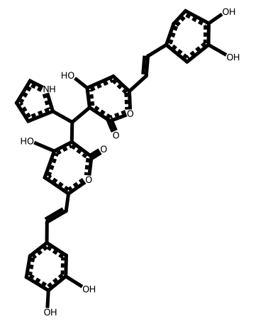 O=c1oc(C=Cc2ccc(O)c(O)c2)cc(O)c1C(c1ccc[nH]1)c1c(O)cc(C=Cc2ccc(O)c(O)c2)oc1=O